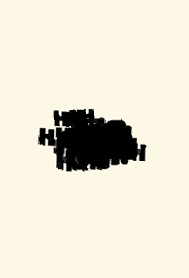 CC(C)C[C@H](NC(=O)CCNC(=O)[C@H](Cc1ccc(O)cc1)NC(=O)[C@H](CO)NC(=O)[C@H](Cc1c[nH]c2ccccc12)NC(=O)[C@H](Cc1c[nH]cn1)NC(=O)[C@@H]1CCC(=O)N1)C(=O)N[C@@H](CCCNC(=N)N)C(=O)N1CCC[C@H]1C(N)=O